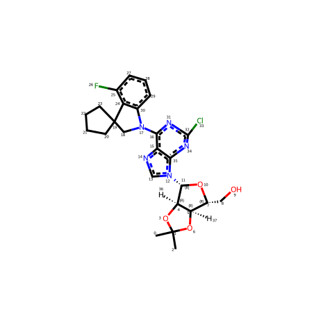 CC1(C)O[C@@H]2[C@H](O1)[C@@H](CO)O[C@H]2n1cnc2c(N3CC4(CCCC4)c4c(F)cccc43)nc(Cl)nc21